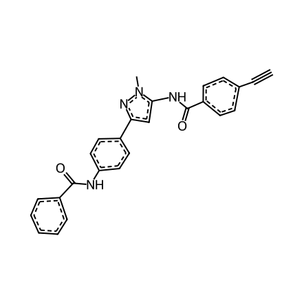 C#Cc1ccc(C(=O)Nc2cc(-c3ccc(NC(=O)c4ccccc4)cc3)nn2C)cc1